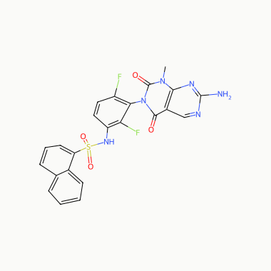 Cn1c(=O)n(-c2c(F)ccc(NS(=O)(=O)c3cccc4ccccc34)c2F)c(=O)c2cnc(N)nc21